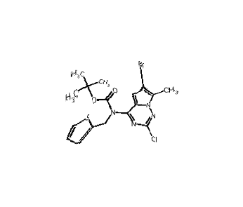 Cc1c(Br)cc2c(N(Cc3cccs3)C(=O)OC(C)(C)C)nc(Cl)nn12